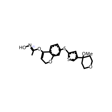 COC1(c2csc(Sc3ccc4c(c3)OCC=C4O/C(C)=N/O)c2)CCOCC1